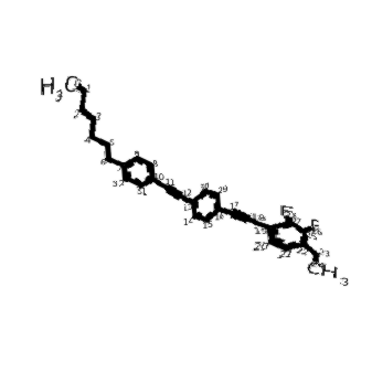 CCCCCCCc1ccc(C#Cc2ccc(C#Cc3ccc(CC)c(F)c3F)cc2)cc1